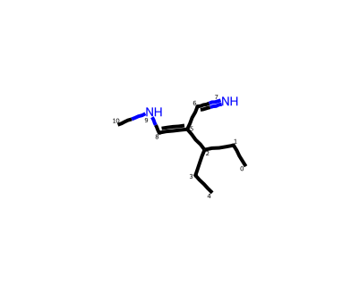 CCC(CC)/C(C=N)=C/NC